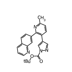 Cc1ccc(-c2cnn(C(=O)OC(C)(C)C)c2)c(-c2ccc3cccnc3c2)n1